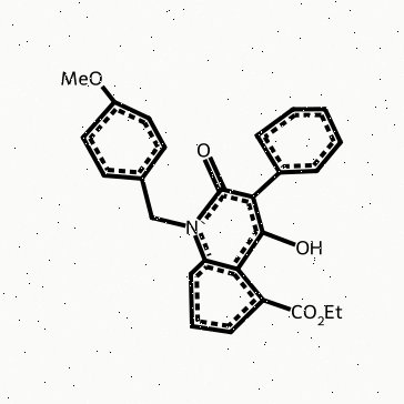 CCOC(=O)c1cccc2c1c(O)c(-c1ccccc1)c(=O)n2Cc1ccc(OC)cc1